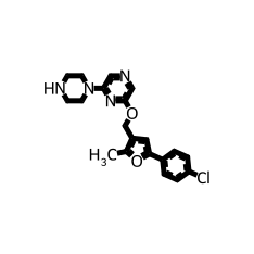 Cc1oc(-c2ccc(Cl)cc2)cc1COc1cncc(N2CCNCC2)n1